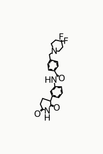 O=C1CCC(c2cccc(NC(=O)c3ccc(CN4CCC(F)(F)CC4)cc3)c2)C(=O)N1